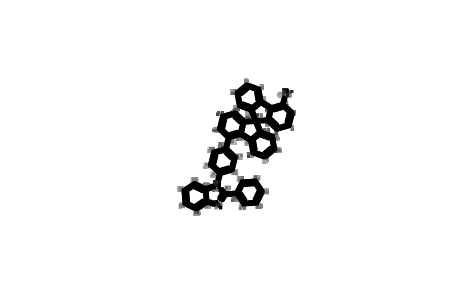 Brc1cccc2c1-c1ccccc1C21c2ccccc2-c2c(-c3ccc(-n4c(-c5ccccc5)nc5ccccc54)cc3)cccc21